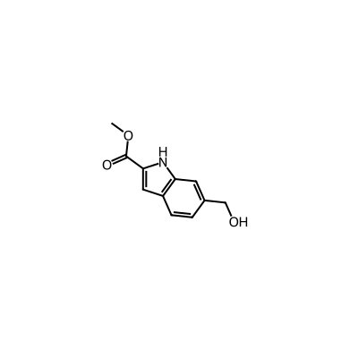 COC(=O)c1cc2ccc(CO)cc2[nH]1